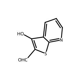 O=Cc1sc2ncccc2c1O